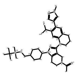 CC(=O)N1CCc2c(c(N3CCCc4cc(-c5cnn(C)c5)c(C(F)F)cc43)nn2C2CCC(CO[Si](C)(C)C(C)(C)C)CC2)C1